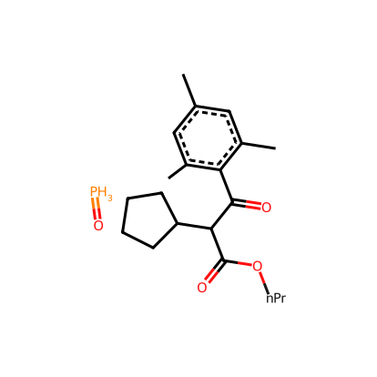 CCCOC(=O)C(C(=O)c1c(C)cc(C)cc1C)C1CCCC1.O=[PH3]